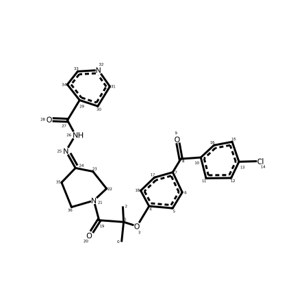 CC(C)(Oc1ccc(C(=O)c2ccc(Cl)cc2)cc1)C(=O)N1CCC(=NNC(=O)c2ccncc2)CC1